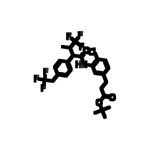 CC(C(C(=O)Nc1cc(CCC(=O)OC(C)(C)C)ccc1Cl)c1ccc(CC(F)(F)F)cc1)C(F)(F)F